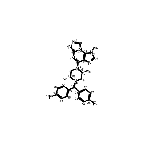 C[C@@H]1CN(c2nc3nncn3c3c2ncn3C)[C@@H](C)CN1C(c1ccc(F)cc1)c1ccc(F)cc1